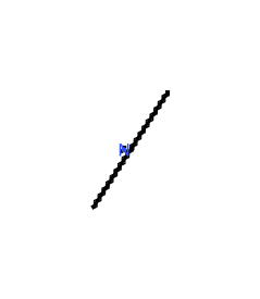 CCCCCCCCCCCCCCCCCCC=CC(CCCCCCCCCCCCCCCCCC)N(C)C